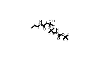 CCCNC(=O)CC(C)(S)OC(C)(C)CNC(=O)OC(C)(C)C